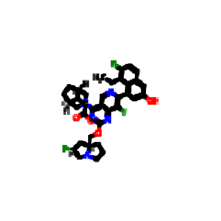 CCc1c(F)ccc2cc(O)cc(-c3ncc4c(N5C[C@H]6CC[C@@H](C5)C6CC(=O)O)nc(OC[C@@]56CCCN5C[C@H](F)C6)nc4c3F)c12